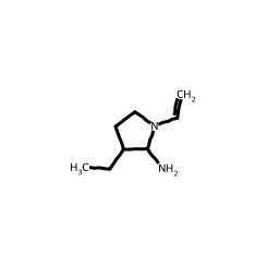 C=CN1CCC(CC)C1N